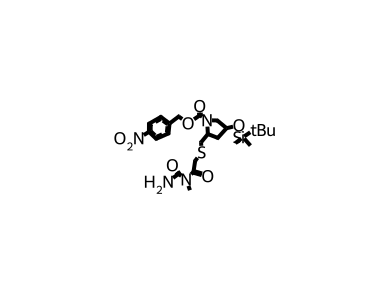 CN(C(N)=O)C(=O)CSCC1CC(O[Si](C)(C)C(C)(C)C)CN1C(=O)OCc1ccc([N+](=O)[O-])cc1